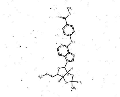 COCC1OC(n2cnc3c(Nc4ccc(C(=O)OC)cc4)ncnc32)[C@@H]2OC(C)(C)O[C@H]12